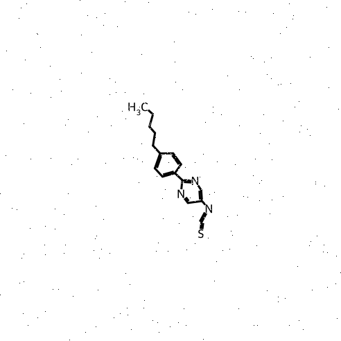 CCCCCc1ccc(-c2ncc(N=C=S)cn2)cc1